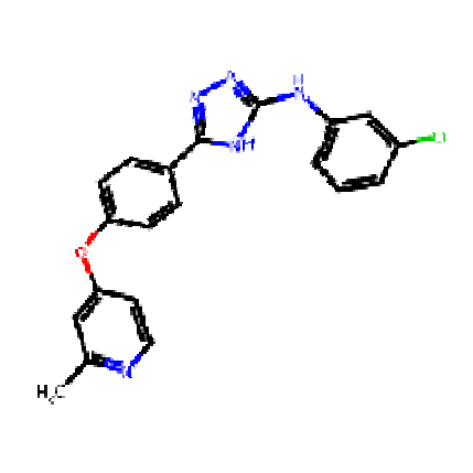 Cc1cc(Oc2ccc(-c3nnc(Nc4cccc(Cl)c4)[nH]3)cc2)ccn1